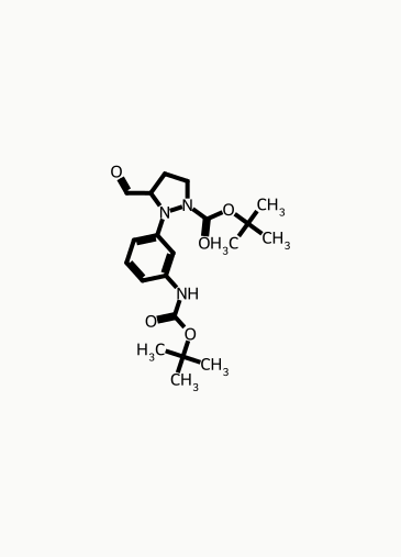 CC(C)(C)OC(=O)Nc1cccc(N2C(C=O)CCN2C(=O)OC(C)(C)C)c1